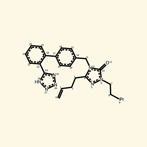 C=CCCc1nn(CCC(C)C)c(=O)n1Cc1ccc(-c2ccccc2-c2nnn[nH]2)cc1